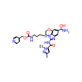 CCn1nc(C)cc1C(=O)Nc1nc2cc(C(N)O)cc3c2n1[C@@H](CCCCNC(=O)OCc1ccncc1)CO3